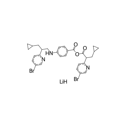 O=C(OC(=O)C(CC1CC1)c1ccc(Br)cn1)c1ccc(NCC(CC2CC2)c2ccc(Br)cn2)cc1.[LiH]